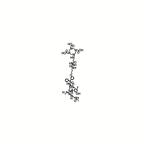 CCC(=O)NCCNC(=O)/N=C(/N)NCCC[C@@H](NC(=O)[C@@H](c1ccccc1)c1cccc(OCCCCNC(=O)NNC(=O)CCNCN2CCN(CC(=O)O)CCN(CC(=O)O)CCN(CC(=O)O)CC2)c1)C(=O)NCc1c(F)cc(O)cc1F